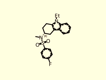 CCn1c2c(c3ccccc31)C[C@H](N(C)S(=O)(=O)c1ccc(F)cc1)CC2